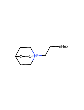 CCCCCCCC[N+]12CCC(CC1)CC2